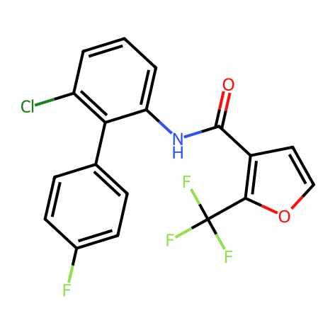 O=C(Nc1cccc(Cl)c1-c1ccc(F)cc1)c1ccoc1C(F)(F)F